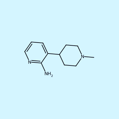 CN1CCC(c2cccnc2N)CC1